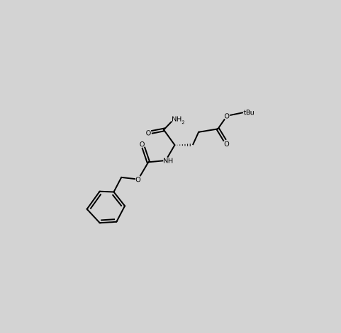 CC(C)(C)OC(=O)CC[C@H](NC(=O)OCc1ccccc1)C(N)=O